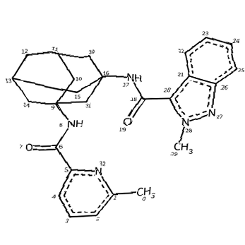 Cc1cccc(C(=O)NC23CC4CC(C2)CC(NC(=O)c2c5ccccc5nn2C)(C4)C3)n1